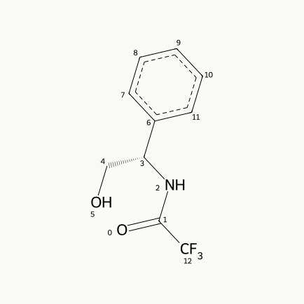 O=C(N[C@H](CO)c1ccccc1)C(F)(F)F